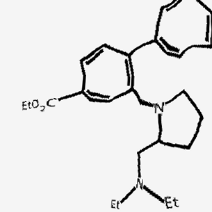 CCOC(=O)c1ccc(-c2ccccc2)c(N2CCCC2CN(CC)CC)c1